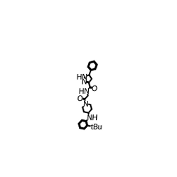 CC(C)(C)c1ccccc1NC1CCN(C(=O)CNC(=O)C2=NNC(c3ccccc3)C2)CC1